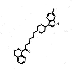 O=C(CCCCCN1CCC(c2c[nH]c3cc(Cl)ccc23)CC1)N1CCCc2ccccc21